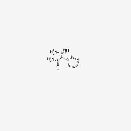 N=C(N)C(C(N)=O)c1ccccc1